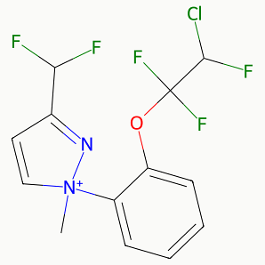 C[N+]1(c2ccccc2OC(F)(F)C(F)Cl)C=CC(C(F)F)=N1